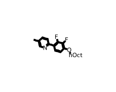 CCCCCCCCOc1ccc(-c2ccc(C)cn2)c(F)c1F